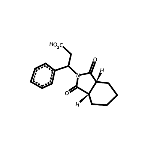 O=C(O)CC(c1ccccc1)N1C(=O)[C@H]2CCCC[C@H]2C1=O